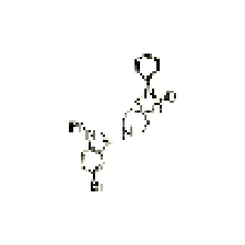 CC(C)n1cc(CN2CCC3(CC2)CN(c2ccccc2)C(=O)O3)c2cc(Br)ccc21